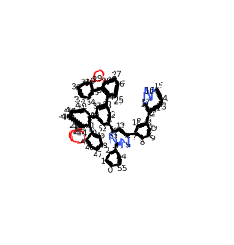 c1ccc(-c2nc(-c3cccc(-c4cccnc4)c3)cc(-c3cc(-c4cccc5oc6ccccc6c45)cc(-c4cccc5oc6ccccc6c45)c3)n2)cc1